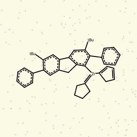 CC(C)(C)c1cc2c(cc1-c1ccccc1)Cc1c-2cc(C(C)(C)C)c(-c2ccccc2)[c]1[Zr]([C]1=CC=CC1)=[C]1CCCC1